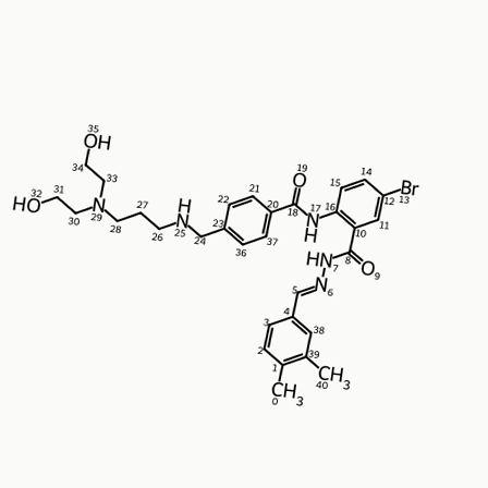 Cc1ccc(C=NNC(=O)c2cc(Br)ccc2NC(=O)c2ccc(CNCCCN(CCO)CCO)cc2)cc1C